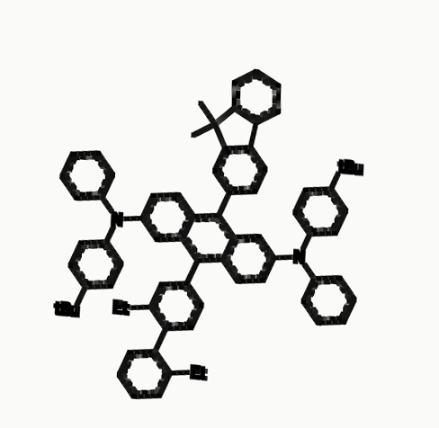 CCc1ccccc1-c1ccc(-c2c3ccc(N(c4ccccc4)c4ccc(C(C)(C)C)cc4)cc3c(-c3ccc4c(c3)C(C)(C)c3ccccc3-4)c3ccc(N(c4ccccc4)c4ccc(C(C)(C)C)cc4)cc23)cc1CC